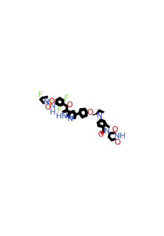 O=C1CCC(N2Cc3cc(N4CC[C@@H]4COc4ccc(-c5cnc6[nH]cc(C(=O)c7c(F)ccc(NS(=O)(=O)N8CC[C@@H](F)C8)c7F)c6c5)cc4)ccc3C2=O)C(=O)N1